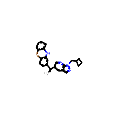 C=C(c1ccc2c(c1)Nc1ccccc1S2)c1cnc2c(cnn2CC2CCC2)c1